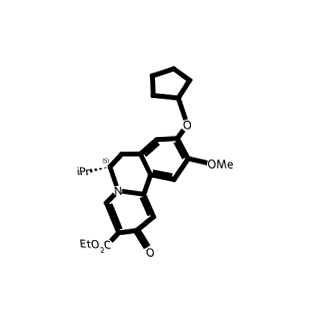 CCOC(=O)c1cn2c(cc1=O)-c1cc(OC)c(OC3CCCC3)cc1C[C@H]2C(C)C